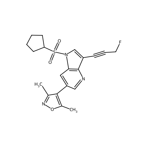 Cc1noc(C)c1-c1cnc2c(C#CCF)cn(S(=O)(=O)C3CCCC3)c2c1